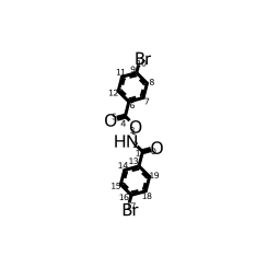 O=C(NOC(=O)c1ccc(Br)cc1)c1ccc(Br)cc1